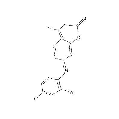 CC1=C2C=CC(=Nc3ccc(F)cc3Br)C=C2OC(=O)C1